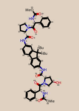 CCCCC1(CCCC)c2cc(NC(=O)[C@@H]3CCCN3C(=O)[C@H](NC(=O)OC)c3ccccc3)ccc2-c2ccc(NC(=O)[C@@H]3C[C@@H](O)CN3C(=O)[C@H](NC(=O)OC)c3ccccc3)cc21